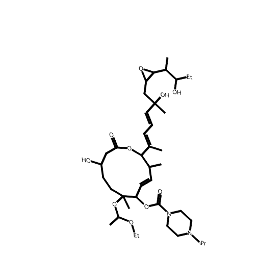 CCOC(C)OC1(C)CCC(O)CC(=O)OC(/C(C)=C/C=C/C(C)(O)CC2OC2C(C)C(O)CC)C(C)/C=C/C1OC(=O)N1CCN(C(C)C)CC1